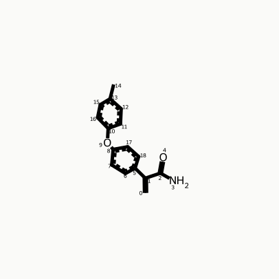 C=C(C(N)=O)c1ccc(Oc2ccc(C)cc2)cc1